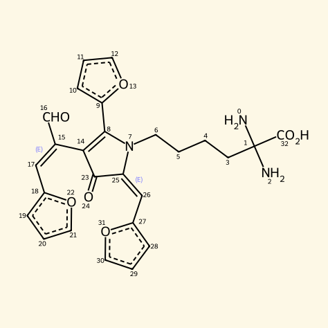 NC(N)(CCCCN1C(c2ccco2)=C(/C(C=O)=C\c2ccco2)C(=O)/C1=C\c1ccco1)C(=O)O